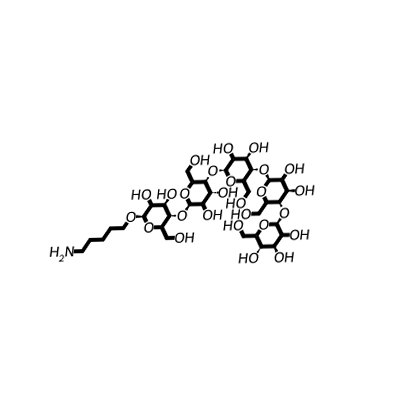 NCCCCCO[C@@H]1OC(CO)[C@@H](O[C@H]2OC(CO)[C@H](O[C@H]3OC(CO)[C@@H](O[C@@H]4OC(CO)[C@@H](O[C@@H]5OC(CO)[C@@H](O)[C@H](O)C5O)[C@H](O)C4O)[C@H](O)C3O)[C@H](O)C2O)[C@H](O)C1O